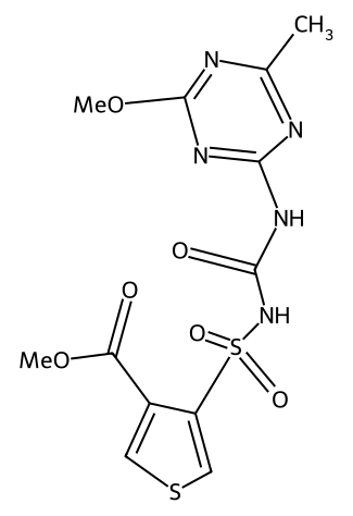 COC(=O)c1cscc1S(=O)(=O)NC(=O)Nc1nc(C)nc(OC)n1